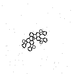 c1cc2c3c(c1)-c1cc4oc5ccccc5c4c4c1c(cc1oc5ccccc5c14)B3c1cc3oc4ccccc4c3c3c1c-2cc1oc2ccccc2c13